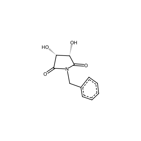 O=C1[C@@H](O)[C@@H](O)C(=O)N1Cc1ccccc1